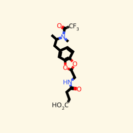 CC(Cc1ccc2c(c1)OC(CNC(=O)CCC(=O)O)O2)N(C)C(=O)C(F)(F)F